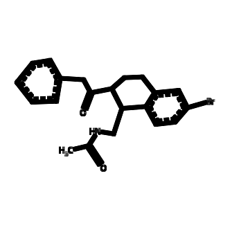 CC(=O)NCC1c2ccc(Br)cc2CCC1C(=O)Cc1ccccc1